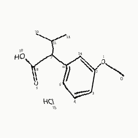 COc1cccc(C(C(=O)O)C(C)C)c1.Cl